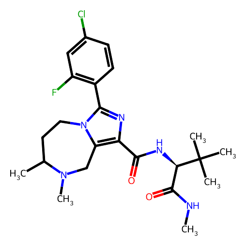 CNC(=O)[C@@H](NC(=O)c1nc(-c2ccc(Cl)cc2F)n2c1CN(C)C(C)CC2)C(C)(C)C